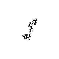 CCC(CCCCOCCCCC(CC)c1ccc(C)cc1)c1ccc(C)cc1